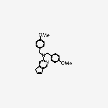 COc1ccc(CN(Cc2ccc(OC)cc2)c2cc3c(cn2)C=CC3)cc1